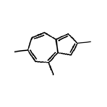 Cc1ccc2cc(C)cc-2c(C)c1